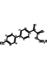 O=C(OS(=O)(=O)O)C(=S)c1ccc(-c2ccc(Cl)cc2)cc1